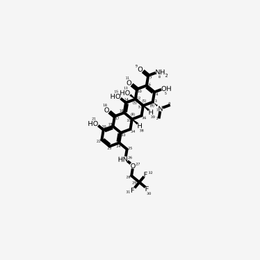 CN(C)[C@H]1C(O)=C(C(N)=O)C(=O)[C@@]2(O)C(O)=C3C(=O)c4c(O)ccc(CNOCC(F)(F)F)c4C[C@H]3C[C@@H]12